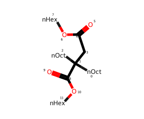 CCCCCCCCC(CCCCCCCC)(CC(=O)OCCCCCC)C(=O)OCCCCCC